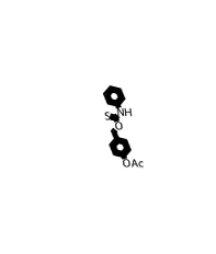 CC(=O)Oc1ccc(COC(=S)Nc2ccccc2)cc1